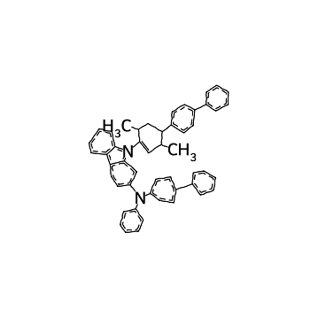 CC1CC(c2ccc(-c3ccccc3)cc2)C(C)C=C1n1c2ccccc2c2ccc(N(c3ccccc3)c3ccc(-c4ccccc4)cc3)cc21